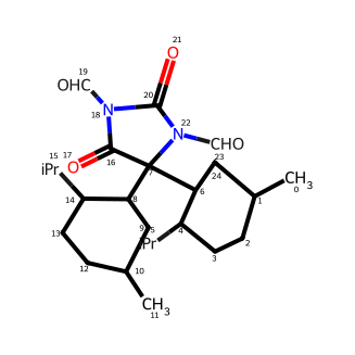 CC1CCC(C(C)C)C(C2(C3CC(C)CCC3C(C)C)C(=O)N(C=O)C(=O)N2C=O)C1